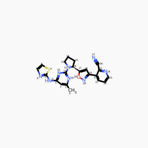 Cc1cc(Nc2nccs2)nc(N2CCC[C@H]2c2cc(-c3cccnc3C#N)no2)n1